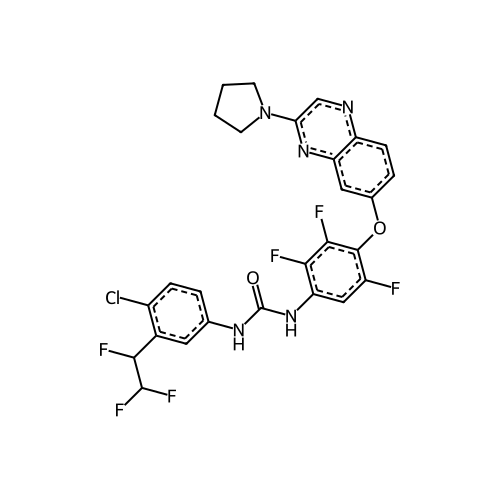 O=C(Nc1ccc(Cl)c(C(F)C(F)F)c1)Nc1cc(F)c(Oc2ccc3ncc(N4CCCC4)nc3c2)c(F)c1F